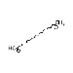 CC(=O)CCCCCCCCCCCCCCCCCC(=O)O